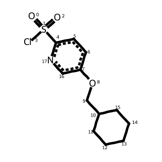 O=S(=O)(Cl)c1ccc(OCC2CCCCC2)cn1